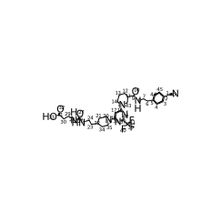 N#Cc1ccc(CCNC(=O)C2CCCN(c3cc(N4CCC(CCNC(=O)NCCC(=O)O)CC4)nc(C(F)(F)F)n3)C2)cc1